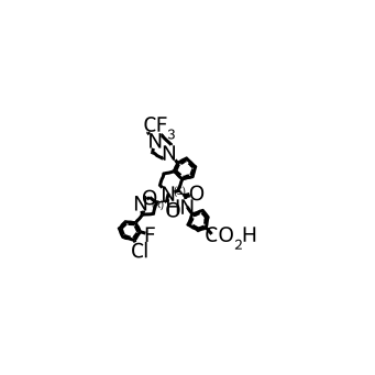 O=C(O)c1ccc(NC(=O)[C@@H]2c3cccc(N4CCN(CC(F)(F)F)CC4)c3CCN2C(=O)[C@H]2CC(c3cccc(Cl)c3F)=NO2)cc1